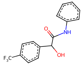 O=C(Nc1ccccc1)C(O)c1ccc(C(F)(F)F)cc1